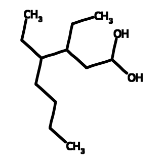 CCCCC(CC)C(CC)CC(O)O